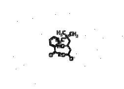 C[N+](C)(C)CC(O)CC(=O)[O-].O=C(Br)c1ccccc1